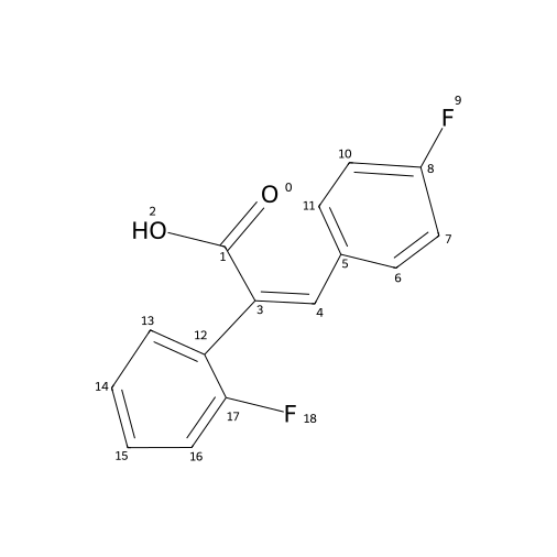 O=C(O)C(=Cc1ccc(F)cc1)c1ccccc1F